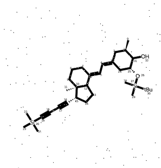 C[C@@H]1C/C(=C/C=C2\CCC[C@@]3(C)C2CC[C@@H]3C#CC#C[Si](C)(C)C)C[C@@H](O[Si](C)(C)C(C)(C)C)C1O